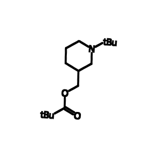 CC(C)(C)C(=O)OCC1CCCN(C(C)(C)C)C1